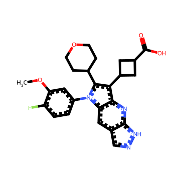 COc1cc(-n2c(C3CCOCC3)c(C3CC(C(=O)O)C3)c3nc4[nH]ncc4cc32)ccc1F